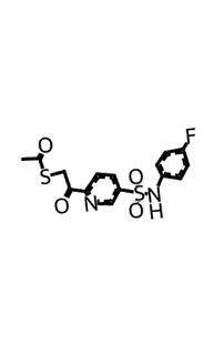 CC(=O)SCC(=O)c1ccc(S(=O)(=O)Nc2ccc(F)cc2)cn1